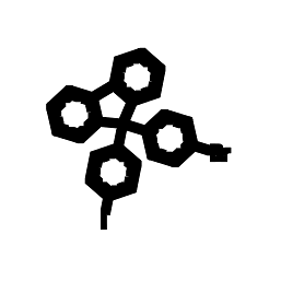 Brc1ccc(C2(c3ccc(I)cc3)c3ccccc3-c3ccccc32)cc1